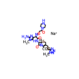 Cn1cc(/C(=N/OCC(=O)N2CCNCC2)C(=O)N[C@@H]2C(=O)N3C(C(=O)[O-])=C(CSc4nnnn4C)CS[C@H]23)nc1N.[Na+]